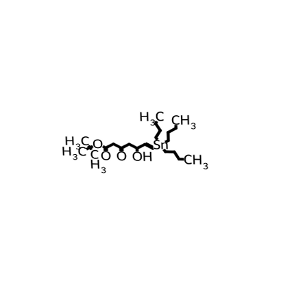 CCC[CH2][Sn](/[CH]=C/C(O)CC(=O)CC(=O)OC(C)(C)C)([CH2]CCC)[CH2]CCC